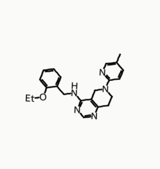 CCOc1ccccc1CNc1ncnc2c1CN(c1ccc(C)cn1)CC2